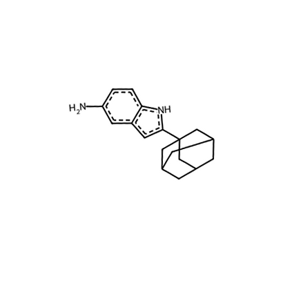 Nc1ccc2[nH]c(C34CC5CC(CC(C5)C3)C4)cc2c1